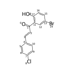 O=C(C=Cc1ccc(Cl)cc1)c1cc(Br)ccc1O